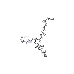 CCCCCC1OC1C/C=C/CC(=O)OCC(COP(=O)(O)OCCN(C)CC)OC(=O)C/C=C/CC1OC1CCCCC